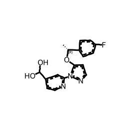 C[C@@H](Oc1ccnn1-c1cc(C(O)O)ccn1)c1ccc(F)cc1